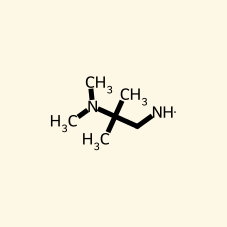 CN(C)C(C)(C)C[NH]